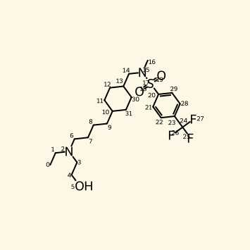 CCN(CCO)CCCCC1CCC(CN(C)S(=O)(=O)c2ccc(C(F)(F)F)cc2)CC1